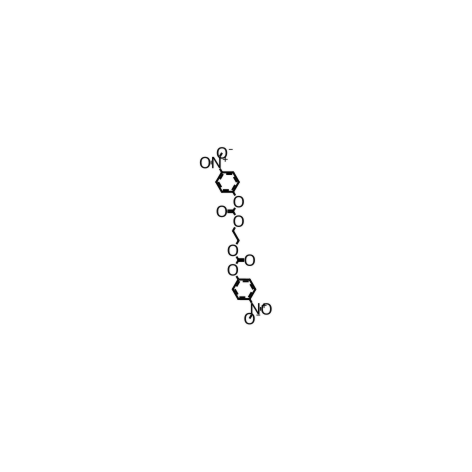 O=C(OCCOC(=O)Oc1ccc([N+](=O)[O-])cc1)Oc1ccc([N+](=O)[O-])cc1